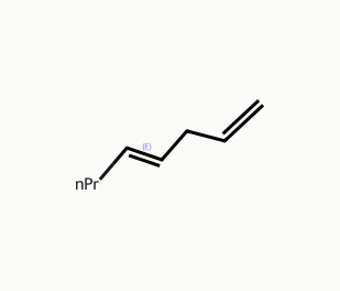 [CH2]CC/C=C/CC=C